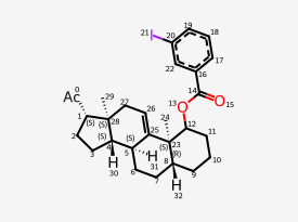 CC(=O)[C@H]1CC[C@H]2[C@@H]3CC[C@H]4CCCC(OC(=O)c5cccc(I)c5)[C@]4(C)C3=CC[C@]12C